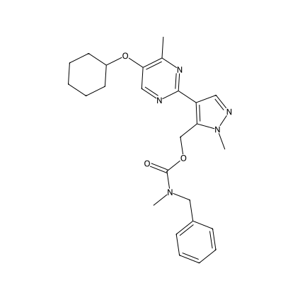 Cc1nc(-c2cnn(C)c2COC(=O)N(C)Cc2ccccc2)ncc1OC1CCCCC1